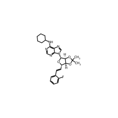 CC1(C)O[C@H]2[C@H](O1)[C@@H](C=Cc1ccccc1F)O[C@H]2n1cnc2c(NC3CCCCC3)ncnc21